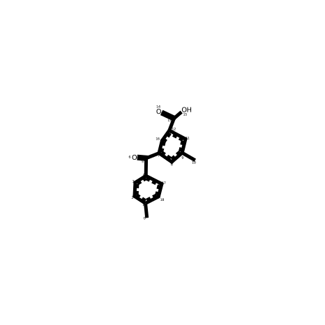 Cc1ccc(C(=O)c2cc(C)cc(C(=O)O)c2)cc1